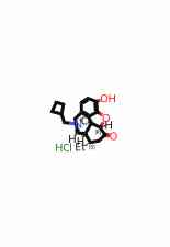 CC[C@H]1CC(=O)[C@@H]2Oc3c(O)ccc4c3[C@@]23CCN(CC2CCC2)[C@H](C4)[C@H]13.Cl